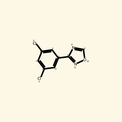 Clc1cc(Cl)cc(-c2n[c]on2)c1